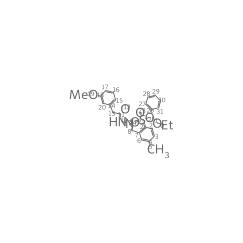 CCOc1cc(C)cc(C=NNC(=O)Cc2cccc(OC)c2)c1S(=O)(=O)Oc1ccccc1